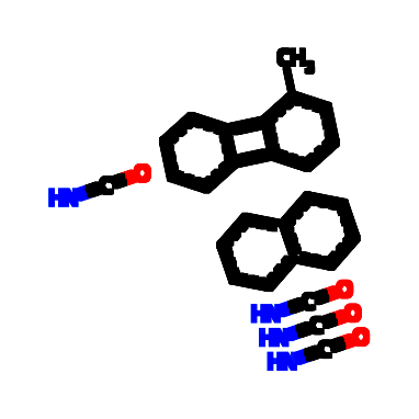 Cc1cccc2c1=c1ccccc1=2.N=C=O.N=C=O.N=C=O.N=C=O.c1ccc2ccccc2c1